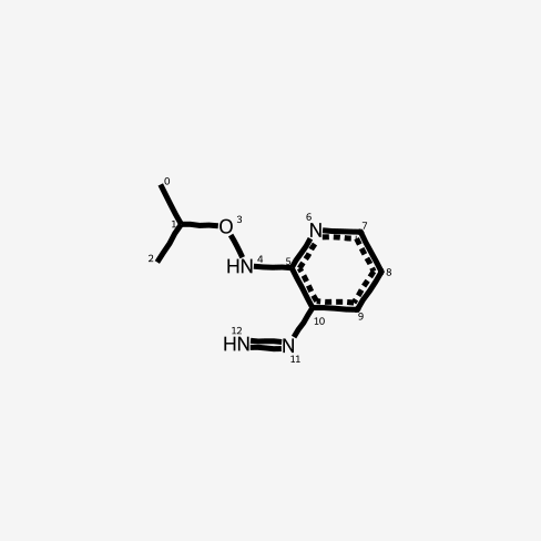 CC(C)ONc1ncccc1N=N